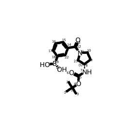 CC(C)(C)OC(=O)N[C@H]1CCN(C(=O)c2cccc(B(O)O)c2)C1